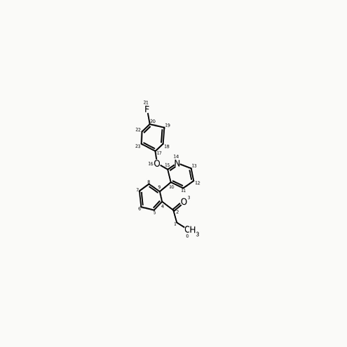 CCC(=O)c1ccccc1-c1cccnc1Oc1ccc(F)cc1